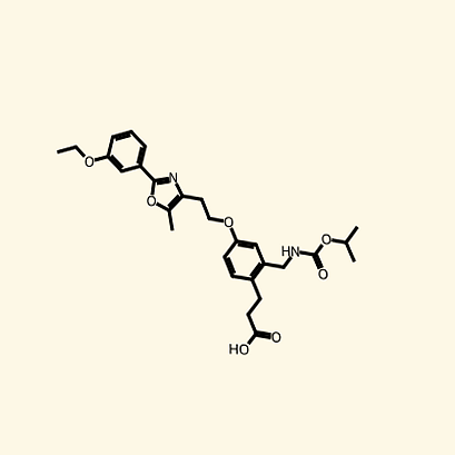 CCOc1cccc(-c2nc(CCOc3ccc(CCC(=O)O)c(CNC(=O)OC(C)C)c3)c(C)o2)c1